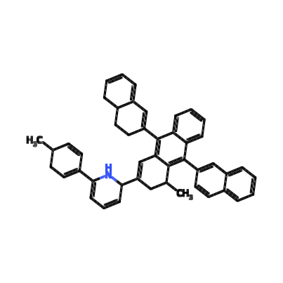 CC1C=CC(C2=CC=CC(C3=Cc4c(c(-c5ccc6ccccc6c5)c5ccccc5c4C4=CC5=CC=CCC5CC4)C(C)C3)N2)=CC1